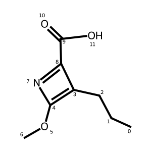 CCCC1=C(OC)N=C1C(=O)O